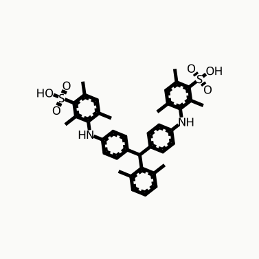 Cc1cc(C)c(S(=O)(=O)O)c(C)c1Nc1ccc(C(c2ccc(Nc3c(C)cc(C)c(S(=O)(=O)O)c3C)cc2)c2c(C)cccc2C)cc1